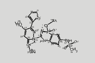 CCOP1(=O)N=C([N+]2(CCC(C)(C)C)N=C(c3cccs3)C(O)=CC2=O)Nc2ccc(NS(C)(=O)=O)cc21